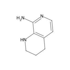 Nc1nccc2c1NCCC2